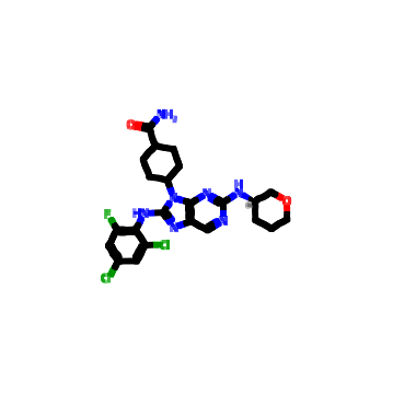 NC(=O)C1CCC(n2c(Nc3c(F)cc(Cl)cc3Cl)nc3cnc(N[C@@H]4CCCOC4)nc32)CC1